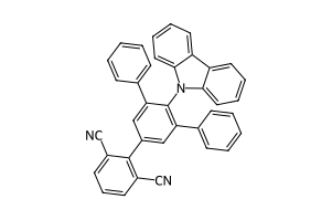 N#Cc1cccc(C#N)c1-c1cc(-c2ccccc2)c(-n2c3ccccc3c3ccccc32)c(-c2ccccc2)c1